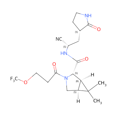 CC1(C)[C@@H]2[C@@H](C(=O)N[C@H](C#N)C[C@@H]3CCNC3=O)N(C(=O)CCOC(F)(F)F)C[C@@H]21